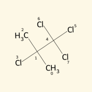 CC(C)(Cl)C(Cl)(Cl)Cl